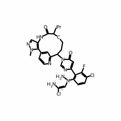 CC(C)C1CCCC(n2cnc(-c3c(N(N)/C=C(\N)Cl)ccc(Cl)c3F)cc2=O)c2cc(ccn2)-c2c(cnn2C)NC1=O